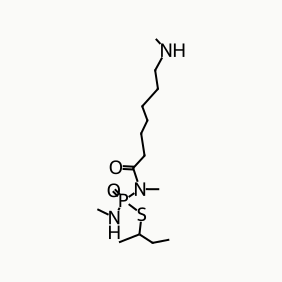 CCC(C)SP(=O)(NC)N(C)C(=O)CCCCCCNC